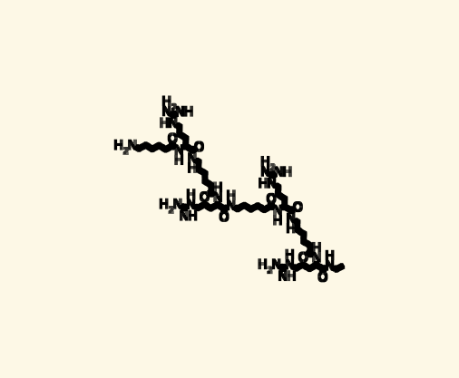 CCNC(=O)C(CCCNC(=N)N)NC(=O)CCCCCNC(=O)C(CCCNC(=N)N)NC(=O)CCCCCNC(=O)C(CCCNC(=N)N)NC(=O)CCCCCNC(=O)C(CCCNC(=N)N)NC(=O)CCCCCN